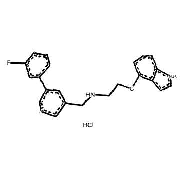 Cl.Fc1cccc(-c2cncc(CNCCOc3cccc4[nH]ccc34)c2)c1